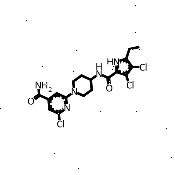 CCc1[nH]c(C(=O)NC2CCN(c3cc(C(N)=O)cc(Cl)n3)CC2)c(Cl)c1Cl